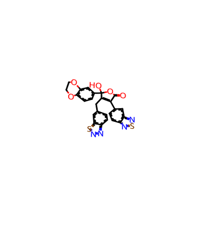 O=C1OC(O)(c2ccc3c(c2)OCCO3)C(Cc2ccc3nnsc3c2)=C1c1ccc2nsnc2c1